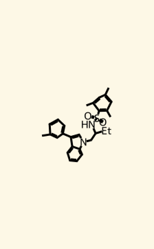 CCC(Cn1cc(-c2cccc(C)c2)c2ccccc21)NS(=O)(=O)c1c(C)cc(C)cc1C